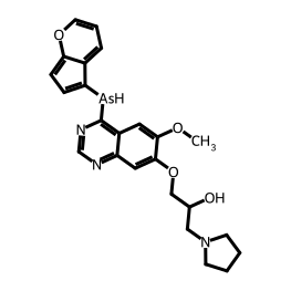 COc1cc2c([AsH]c3ccc4occcc3-4)ncnc2cc1OCC(O)CN1CCCC1